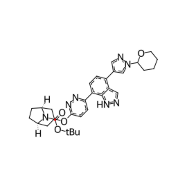 CC(C)(C)OC(=O)N1[C@@H]2CC[C@H]1CC(Oc1ccc(-c3ccc(-c4cnn(C5CCCCO5)c4)c4cn[nH]c34)nn1)C2